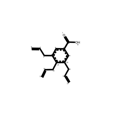 C=CCc1cc(C(=O)O)cc(CC=C)c1CC=C